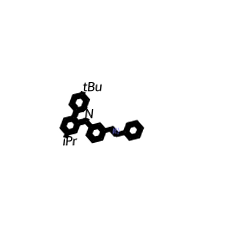 CC(C)c1ccc2c(c1)c(-c1cccc(/C=C/c3ccccc3)c1)nc1cc(C(C)(C)C)ccc12